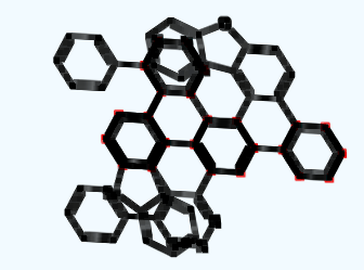 c1ccc(-c2ccccc2-c2c(-c3ccccc3)nnnc2-c2cc(-c3ccccc3)c(-c3c(-c4ccccc4)ccc4oc5ccccc5c34)c(-c3nnnc(-c4ccccc4)c3-c3ccccc3)c2-c2c(-c3ccccc3)ccc3[se]c4ccccc4c23)cc1